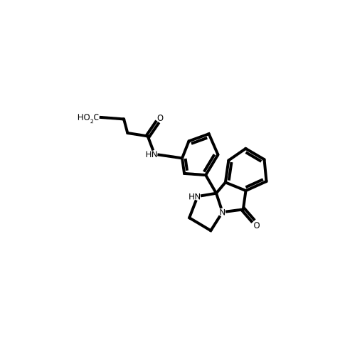 O=C(O)CCC(=O)Nc1cccc(C23NCCN2C(=O)c2ccccc23)c1